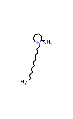 C=C1CCCCCN1CCCCCCCCCCCC